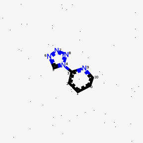 c1ccc(-n2cnnn2)nc1